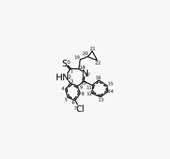 S=C1Nc2ccc(Cl)cc2C(c2ccccc2)=NC1CC1CC1